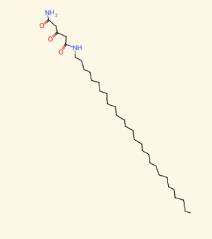 CCCCCCCCCCCCCCCCCCCCCCCCCCCCNC(=O)CC(=O)CC(N)=O